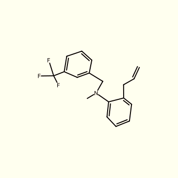 C=CCc1ccccc1N(C)Cc1cccc(C(F)(F)F)c1